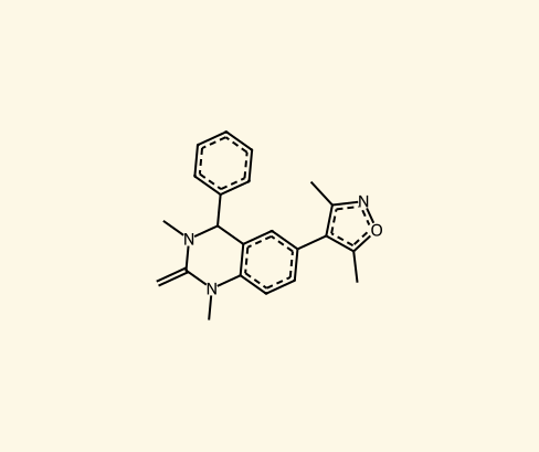 C=C1N(C)c2ccc(-c3c(C)noc3C)cc2C(c2ccccc2)N1C